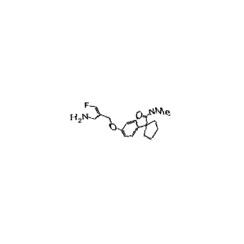 CNC(=O)C1(c2ccc(OC/C(=C/F)CN)cc2)CCCC1